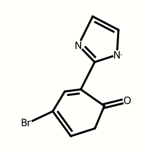 O=C1CC=C(Br)C=C1C1=NC=C[N]1